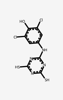 Oc1c(Cl)cc(Nc2nc(S)nc(S)n2)cc1Cl